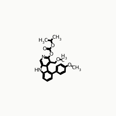 COCc1c(OC(=O)OC(C)C)ncc2[nH]c3cccc(-c4ccc(OC)cc4)c3c12